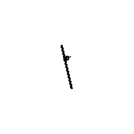 CCCCCCCCCCCCCCCCCC=[N+]([O-])CCCCCCCC